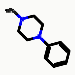 CC[CH]N1CCN(c2ccccc2)CC1